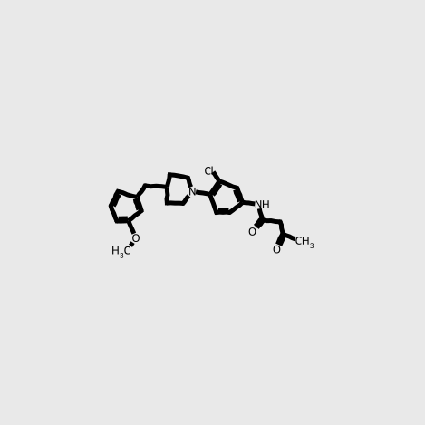 COc1cccc(CC2CCN(c3ccc(NC(=O)CC(C)=O)cc3Cl)CC2)c1